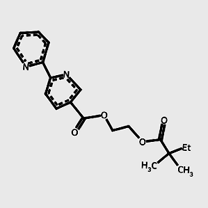 CCC(C)(C)C(=O)OCCOC(=O)c1ccc(-c2ccccn2)nc1